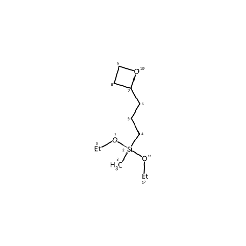 CCO[Si](C)(CCCC1CCO1)OCC